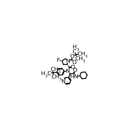 CC(C)(C)OC(=O)N1C[C@H](F)C[C@@H]1C(=O)N(c1ccc(C(C)(C)C)cc1)C(C(=O)NC1CCCCC1)c1cccnc1